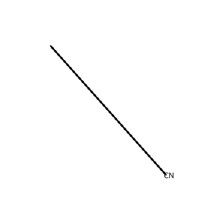 CC#CC#CC#CC#CC#CC#CC#CC#CC#CC#CC#CC#CC#CC#CC#CC#CC#CC#CC#CC#CC#CC#CC#CC#CC#CC#CC#CC#CC#CC#CC#CC#CC#CC#CC#CC#CC#CC#CC#N